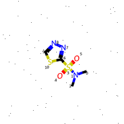 CN(C)S(=O)(=O)c1nncs1